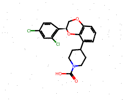 O=C(O)N1CCC(c2cccc3c2O[C@@H](c2ccc(Cl)cc2Cl)CO3)CC1